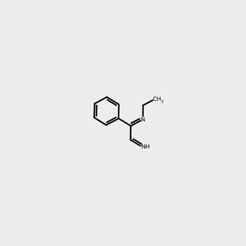 CC/N=C(/C=N)c1ccccc1